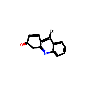 CCc1c2c(nc3ccccc13)CC(=O)C=C2